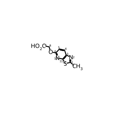 Cc1nc2ccc(OCC(=O)O)nc2s1